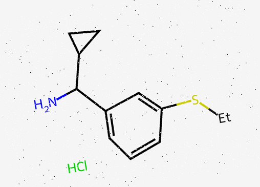 CCSc1cccc(C(N)C2CC2)c1.Cl